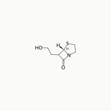 O=C1C(CCO)[C@@H]2SCCN12